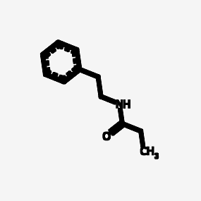 CCC(=O)NCCc1ccccc1